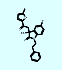 Cc1ccc(C(=O)CC2(O)C(=O)N(CCc3ccccc3)c3ccc(Cl)cc32)o1